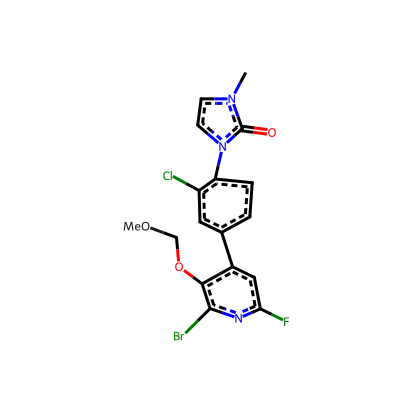 COCOc1c(-c2ccc(-n3ccn(C)c3=O)c(Cl)c2)cc(F)nc1Br